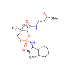 COC(=O)CCNC(=O)[C@@H]1OP(=O)(N[C@H](C(=O)OC)C2CCCCC2)OCC1(C)C